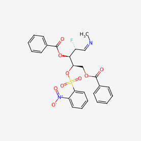 C/N=C\[C@@H](F)[C@H](OC(=O)c1ccccc1)[C@@H](COC(=O)c1ccccc1)OS(=O)(=O)c1ccccc1[N+](=O)[O-]